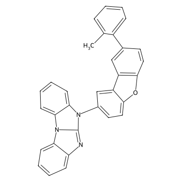 Cc1ccccc1-c1ccc2oc3ccc(-n4c5ccccc5n5c6ccccc6nc45)cc3c2c1